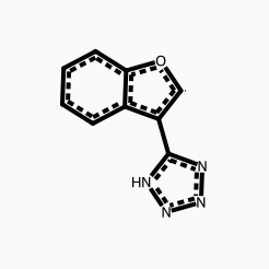 [c]1oc2ccccc2c1-c1nnn[nH]1